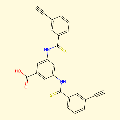 C#Cc1cccc(C(=S)Nc2cc(NC(=S)c3cccc(C#C)c3)cc(C(=O)O)c2)c1